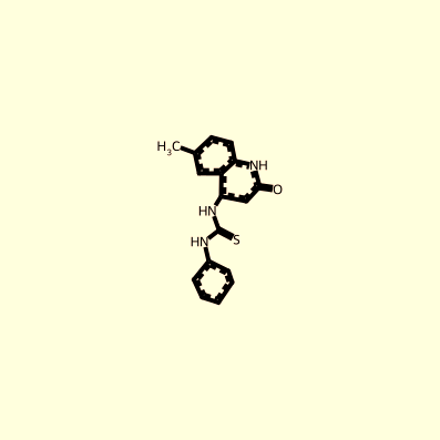 Cc1ccc2[nH]c(=O)cc(NC(=S)Nc3ccccc3)c2c1